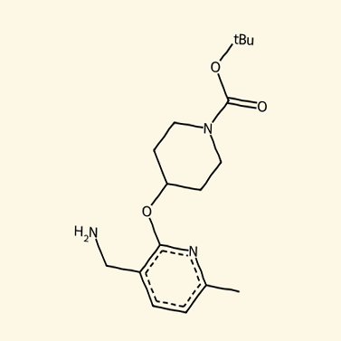 Cc1ccc(CN)c(OC2CCN(C(=O)OC(C)(C)C)CC2)n1